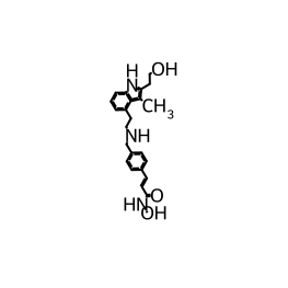 Cc1c(CCO)[nH]c2cccc(CCNCc3ccc(/C=C/C(=O)NO)cc3)c12